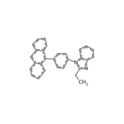 CCc1nc2ccccc2n1-c1ccc(-c2c3ccccc3cc3ccccc23)cc1